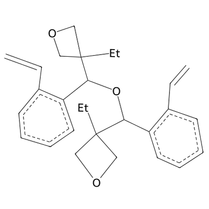 C=Cc1ccccc1C(OC(c1ccccc1C=C)C1(CC)COC1)C1(CC)COC1